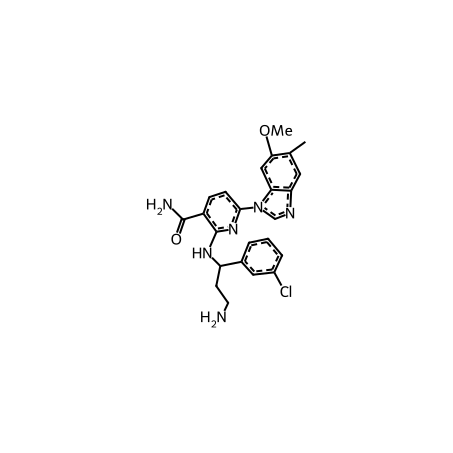 COc1cc2c(cc1C)ncn2-c1ccc(C(N)=O)c(NC(CCN)c2cccc(Cl)c2)n1